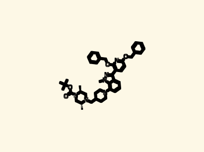 C[C@@H]1CN(C(=O)OC(C)(C)C)[C@@H](C)CN1CC1CCN(c2cccc3c(-c4ccc(OCc5ccccc5)nc4OCc4ccccc4)nn(C)c23)CC1